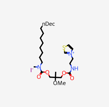 CCCCCCCCCCCCCCCCCCN(C)C(=O)OCC(C)(COC(=O)NCC[n+]1ccsc1)OC.[I-]